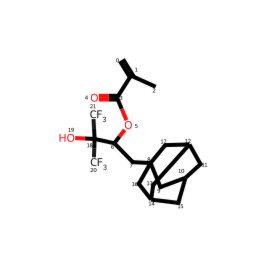 C=C(C)C(=O)OC(CC12CC3CC(CC(C3)C1)C2)C(O)(C(F)(F)F)C(F)(F)F